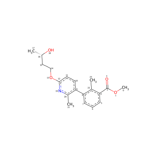 COC(=O)c1cccc(-c2ccc(OCC[C@H](C)O)nc2C)c1C